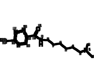 CN(C)CCCCCCNC(=O)c1ccc([123I])nn1